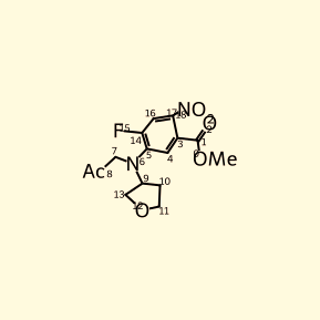 COC(=O)c1cc(N(CC(C)=O)C2CCOC2)c(F)cc1[N+](=O)[O-]